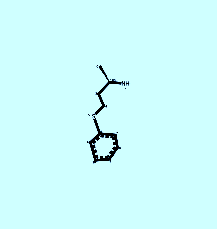 C[C@@H]([NH])CCSc1ccccc1